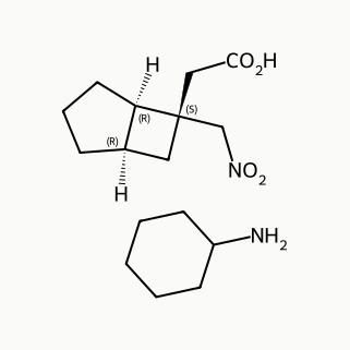 NC1CCCCC1.O=C(O)C[C@@]1(C[N+](=O)[O-])C[C@H]2CCC[C@H]21